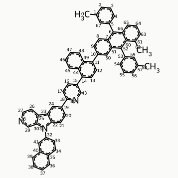 Cc1cccc(-c2c3ccc(-c4ccc(-c5ccc(-c6ccc7c(c6)c6ccncc6n7-c6ccc7ccccc7c6)nc5)c5ccccc45)cc3c(-c3cccc(C)c3)c3c(C)cccc23)c1